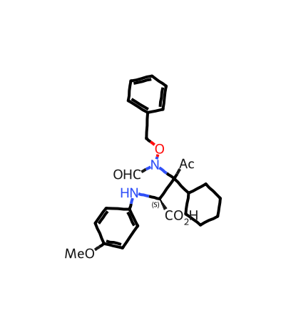 COc1ccc(N[C@H](C(=O)O)C(C(C)=O)(C2CCCCC2)N(C=O)OCc2ccccc2)cc1